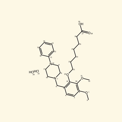 COc1ccc(CN2CCN(c3ccccc3)CC2)c(OCCCCCCC(=O)O)c1OC.Cl.Cl